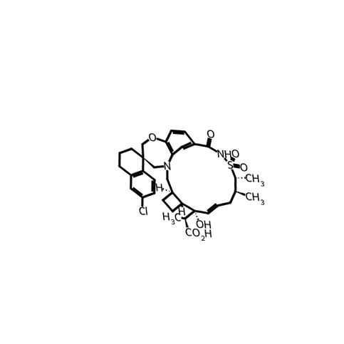 C[C@H](C(=O)O)[C@]1(O)/C=C/C[C@H](C)[C@@H](C)S(=O)(=O)NC(=O)c2ccc3c(c2)N(C[C@@H]2CC[C@H]21)C[C@@]1(CCCc2cc(Cl)ccc21)CO3